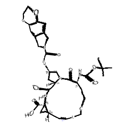 CC(C)(C)OC(=O)N[C@H]1CCCCC/C=C\[C@@H]2C[C@@]2(C(=O)O)NC(=O)[C@@H]2C[C@@H](OC(=O)N3Cc4cc5c(cc4C3)OCCO5)CN2C1=O